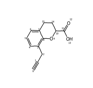 C#CCc1cccc2c1OC(C(=O)O)CC2